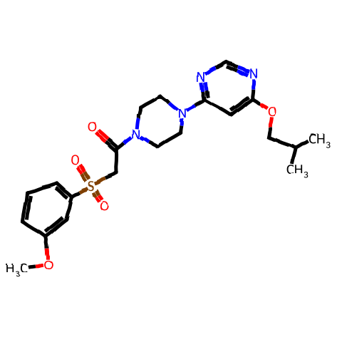 COc1cccc(S(=O)(=O)CC(=O)N2CCN(c3cc(OCC(C)C)ncn3)CC2)c1